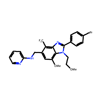 COCCn1c(-c2ccc(C(C)C)cc2)nc2c(C(F)(F)F)c(CNc3ccccn3)cc(OC)c21